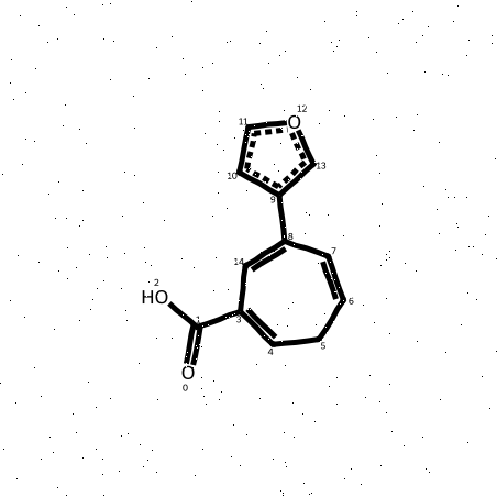 O=C(O)C1=CCC=CC(c2ccoc2)=C1